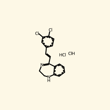 Cl.Cl.Clc1ccc(C=CC2=NCCNc3ccccc32)cc1Cl